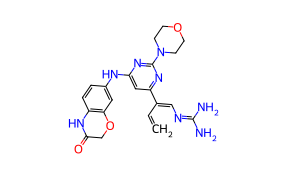 C=C/C(=C\N=C(N)N)c1cc(Nc2ccc3c(c2)OCC(=O)N3)nc(N2CCOCC2)n1